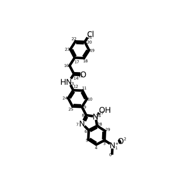 C[N+](=O)c1ccc2nc(-c3ccc(NC(=O)Cc4ccc(Cl)cc4)cc3)n(O)c2c1